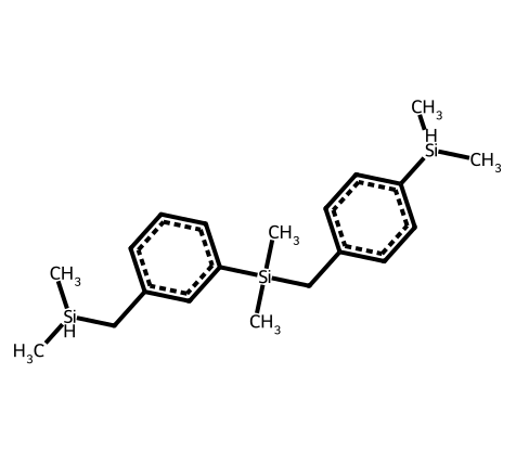 C[SiH](C)Cc1cccc([Si](C)(C)Cc2ccc([SiH](C)C)cc2)c1